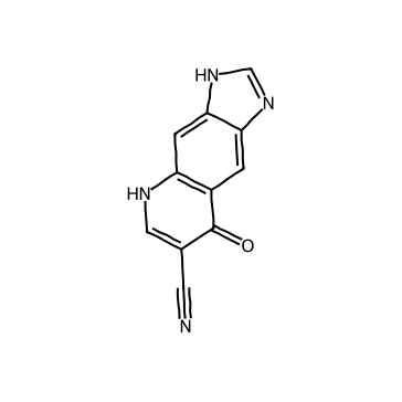 N#Cc1c[nH]c2cc3[nH]cnc3cc2c1=O